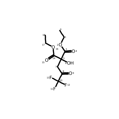 CCOC(=O)C(O)(CC(=O)C(F)(F)F)C(=O)OCC